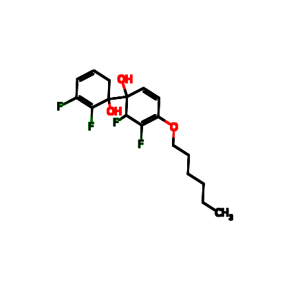 CCCCCCOC1=C(F)C(F)C(O)(C2(O)CC=CC(F)=C2F)C=C1